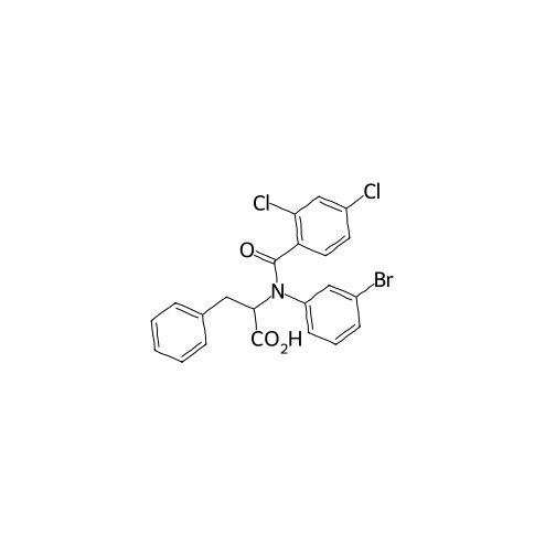 O=C(O)C(Cc1ccccc1)N(C(=O)c1ccc(Cl)cc1Cl)c1cccc(Br)c1